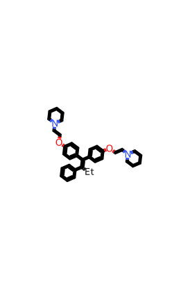 CCC(=C(c1ccc(OCCN2CCCCC2)cc1)c1ccc(OCCN2CCCCC2)cc1)c1ccccc1